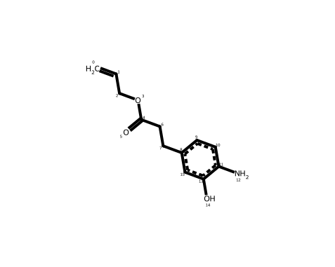 C=CCOC(=O)CCc1ccc(N)c(O)c1